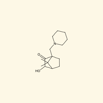 CC1(C)C2CCC1(CN1CCCCC1)C(=O)C2O